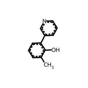 Cc1cccc(-c2cccnc2)c1O